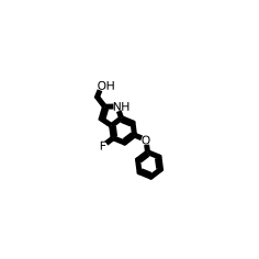 OCc1cc2c(F)cc(Oc3ccccc3)cc2[nH]1